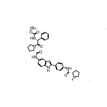 CN1CCC[C@H]1C(=O)Nc1ccc(-c2cc3cc(NC(=O)[C@@H]4CCCN4C(=O)[C@H](NC(=O)OC(C)(C)C)c4ccccc4)ccc3[nH]2)cc1